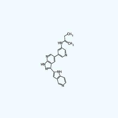 C=C(CC)Nc1cncc(-c2cnc3[nH]nc(-c4cc5cnccc5[nH]4)c3c2)c1